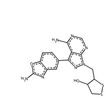 Nc1nc2cc(-c3nn(CC4SSCC4O)c4ncnc(N)c34)ccc2o1